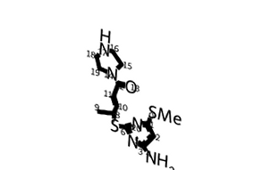 CSc1cc(N)nc(SC(C)/C=C/C(=O)N2CCNCC2)n1